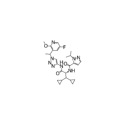 COc1ncc(F)cc1C(C)n1cc(NC(=O)[C@@H](NC(=O)c2ccnn2C(C)C)C(C2CC2)C2CC2)nn1